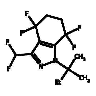 CCC(C)(C)n1nc(C(F)F)c2c1C(F)(F)CCC2(F)F